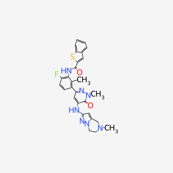 Cc1c(-c2cc(Nc3cc4n(n3)CCN(C)C4)c(=O)n(C)n2)ccc(F)c1NC(=O)c1cc2ccccc2s1